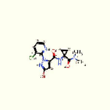 CN(C)C(=O)C1(NC(=O)c2cc(Br)nn2-c2ncccc2Cl)CC1